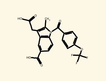 Cc1c(CC(=O)O)c2cc(C(=O)O)ccc2n1C(=O)c1ccc(OC(F)(F)F)cc1